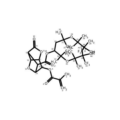 C=C(C)C(=O)OC1C2OC(=O)C3C2OC1C3C(=O)OC(CC(C)(C)OC(C)(C)C(C)(O)C(F)(F)F)C(C)(C)OC(C)(C)C(O)(C(F)(F)F)C(F)(F)F